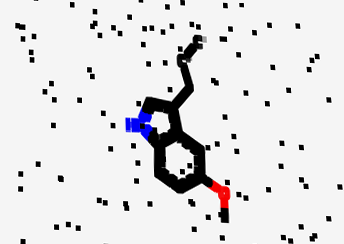 [CH2-][CH+]Cc1c[nH]c2ccc(OC)cc12